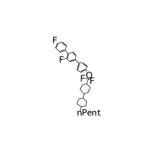 CCCCCC1CCC(C2CCC(C(F)(F)Oc3ccc(-c4ccc(-c5ccc(F)cc5)c(F)c4)cc3)CC2)CC1